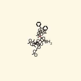 B[C@@H]1O[C@H](CO[Si](OC(c2ccccc2)c2ccccc2)(O[Si](C)(C)C)O[Si](C)(C)C)C(OP(OC)N(C(C)C)C(C)C)C1OC(OCCOC(C)=O)OCCOC(C)=O